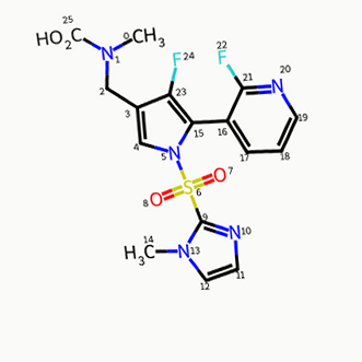 CN(Cc1cn(S(=O)(=O)c2nccn2C)c(-c2cccnc2F)c1F)C(=O)O